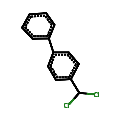 ClC(Cl)c1ccc(-c2ccccc2)cc1